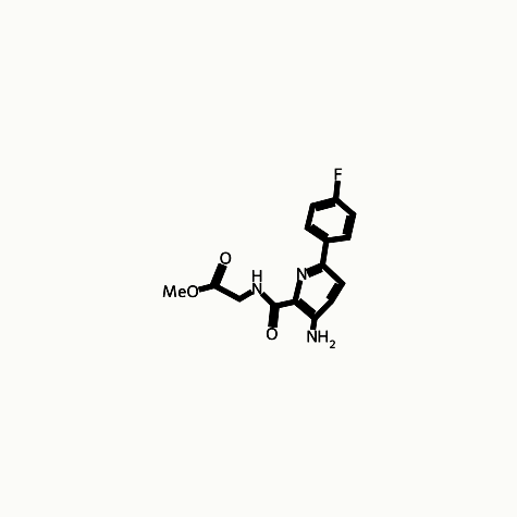 COC(=O)CNC(=O)c1nc(-c2ccc(F)cc2)ccc1N